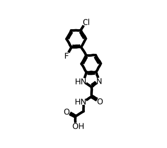 O=C(O)CNC(=O)c1nc2ccc(-c3cc(Cl)ccc3F)cc2[nH]1